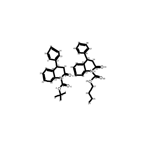 CC(C)(C)OC(=O)N1C(=O)CC(c2ccccc2)c2ccccc21.CCCCOC(=O)N1C(=O)CC(c2ccccc2)c2ccccc21